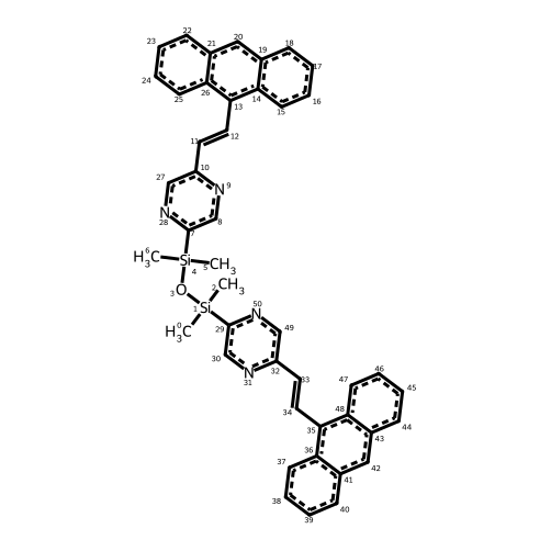 C[Si](C)(O[Si](C)(C)c1cnc(/C=C/c2c3ccccc3cc3ccccc23)cn1)c1cnc(/C=C/c2c3ccccc3cc3ccccc23)cn1